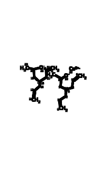 C=CCN(CC=C)CC(C)[O-].C=CCN(CC=C)CC(C)[O-].[Cu+2]